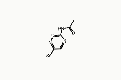 CC(=O)Nc1ncc(Br)nn1